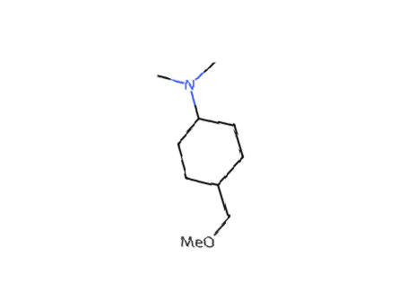 COCC1CCC(N(C)C)CC1